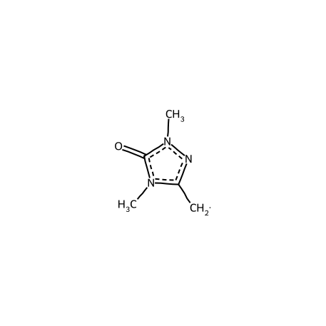 [CH2]c1nn(C)c(=O)n1C